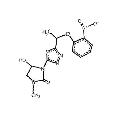 CC(Oc1ccccc1[N+](=O)[O-])c1nnc(N2C(=O)N(C)CC2O)s1